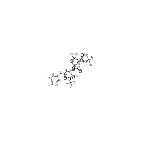 CC(C)(C)OC(=O)C(=CC(=O)Cc1ccccc1)N1C(=O)C2C1SC(C)(C)N2C(=O)OC(C)(C)C